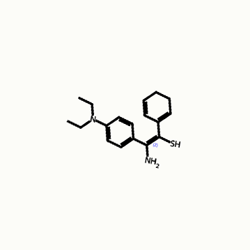 CCN(CC)c1ccc(/C(N)=C(/S)C2=CCCC=C2)cc1